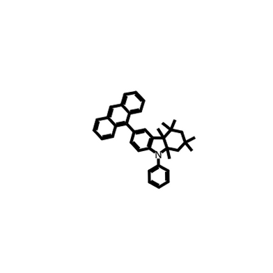 CC1(C)CC(C)(C)C2(C)c3cc(-c4c5ccccc5cc5ccccc45)ccc3N(c3ccccc3)C2(C)C1